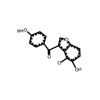 COc1ccc(C(=O)c2coc3ccc(O)c(Cl)c23)cc1